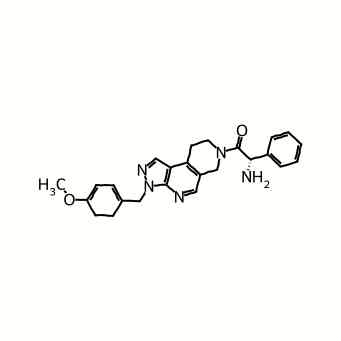 COC1=CC=C(Cn2ncc3c4c(cnc32)CN(C(=O)[C@@H](N)c2ccccc2)CC4)CC1